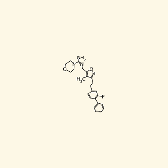 Cc1c(CCc2ccc(-c3ccccc3)c(F)c2)noc1CN=C(N)N1CCOCC1